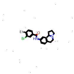 CCc1ccc(C(=O)Nc2ccc3c(c2)C2CCCN2CC3)cc1Br